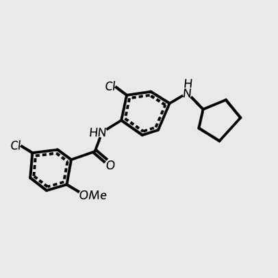 COc1ccc(Cl)cc1C(=O)Nc1ccc(NC2CCCC2)cc1Cl